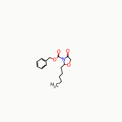 CCCCCC1OCC(=O)N1C(=O)OCc1ccccc1